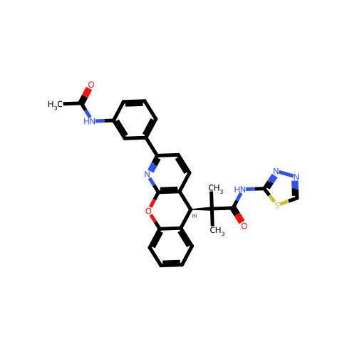 CC(=O)Nc1cccc(-c2ccc3c(n2)Oc2ccccc2[C@@H]3C(C)(C)C(=O)Nc2nncs2)c1